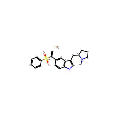 Br.C=C(c1ccc2[nH]cc(CC3CCCN3C)c2c1)S(=O)(=O)c1ccccc1